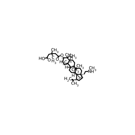 C=C(C)[C@@H]1CC[C@]2(CCNC)CC[C@]3(C)[C@H](CC[C@@H]4[C@@]5(C)CC[C@H](OC(=O)CC(C)(C)CC(=O)O)C(C)(C)[C@@H]5CC[C@]43C)[C@@H]12